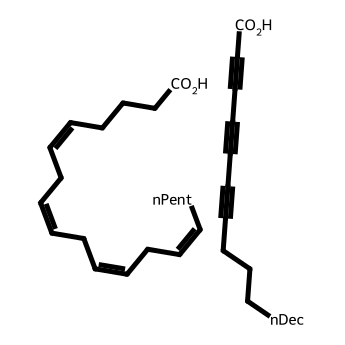 CCCCC/C=C\C/C=C\C/C=C\C/C=C\CCCC(=O)O.CCCCCCCCCCCCCC#CC#CC#CC(=O)O